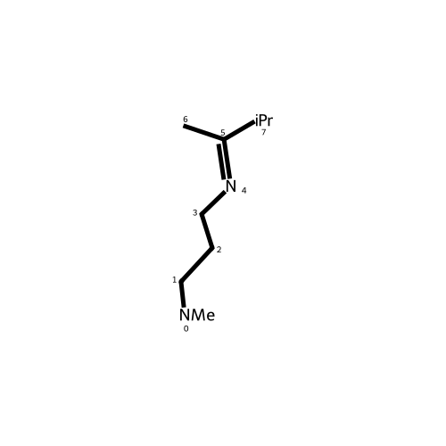 CNCCCN=C(C)C(C)C